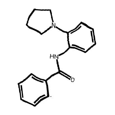 O=C(Nc1ccccc1N1CCCC1)c1[c]cccc1